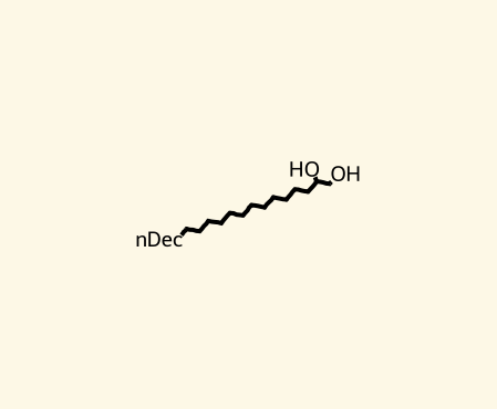 CCCCCCCCCCCCCCCCCCCCCCC(O)CO